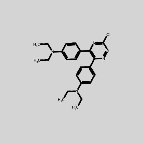 CCN(CC)c1ccc(-c2nnc(Cl)nc2-c2ccc(N(CC)CC)cc2)cc1